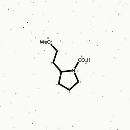 COCCC1CCCN1C(=O)O